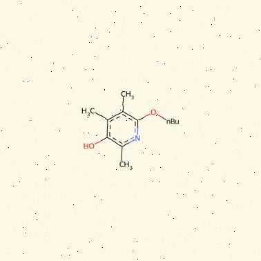 CCCCOc1nc(C)c(O)c(C)c1C